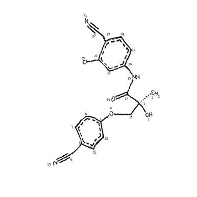 C[C@](O)(COc1ccc(C#N)cc1)C(=O)Nc1ccc(C#N)c(Cl)c1